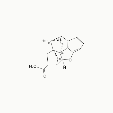 CC(=O)C1CC23CCC1[C@@H]1Oc4cccc5c4[C@@]12CCN[C@@H]3C5